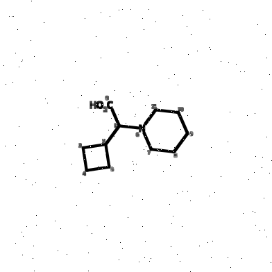 O=C(O)C(C1CCC1)N1CCCCC1